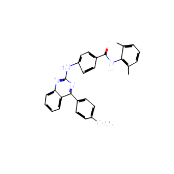 COc1ccc(-c2nc(Nc3ccc(C(=O)Nc4c(C)cccc4C)cc3)nc3ccccc23)cc1